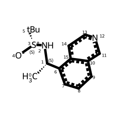 C[C@H](N[S@+]([O-])C(C)(C)C)c1cccc2cnccc12